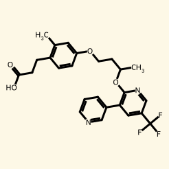 Cc1cc(OCCC(C)Oc2ncc(C(F)(F)F)cc2-c2cccnc2)ccc1CCC(=O)O